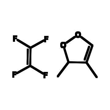 CC1=COOC1C.FC(F)=C(F)F